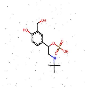 CC(C)(C)NCC(OS(=O)(=O)O)c1ccc(O)c(CO)c1